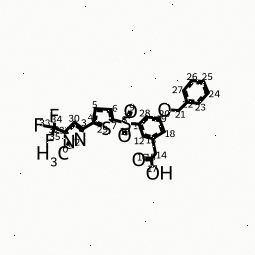 Cn1nc(-c2ccc(S(=O)(=O)c3cc(CC(=O)O)cc(OCc4ccccc4)c3)s2)cc1C(F)(F)F